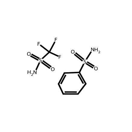 NS(=O)(=O)C(F)(F)F.NS(=O)(=O)c1ccccc1